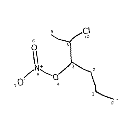 [CH2]CCC(O[N+](=O)[O-])C(C)Cl